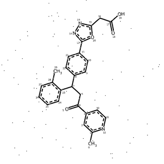 Cc1cc(C(=O)CC(c2ccc(-c3nnc(CC(=O)O)o3)cc2)c2ccccc2C)ccn1